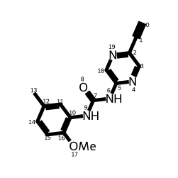 C#Cc1cnc(NC(=O)Nc2cc(C)ccc2OC)cn1